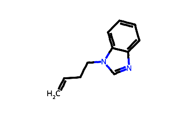 C=CCCn1cnc2ccccc21